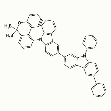 BC1(B)Oc2ccc#cc2-c2c(-n3c4c(c5cc(-c6ccc7c8cc(-c9ccccc9)ccc8n(-c8ccccc8)c7c6)ccc53)C=CCC4)cccc21